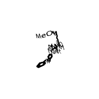 CCc1c(NC(=O)OCCCN(C)CCOC)cn2ncnc(Nc3ccc4c(cnn4Cc4ccccc4)c3)c12